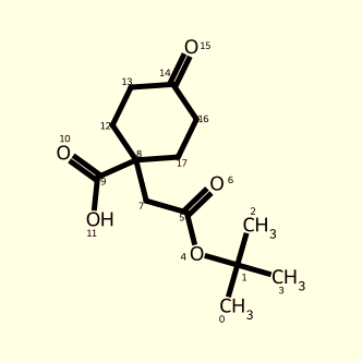 CC(C)(C)OC(=O)CC1(C(=O)O)CCC(=O)CC1